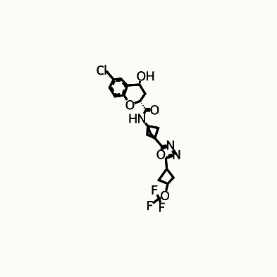 O=C(NC12CC(c3nnc(C4CC(OC(F)(F)F)C4)o3)(C1)C2)[C@H]1C[C@H](O)c2cc(Cl)ccc2O1